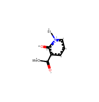 CCn1cccc(C(=O)OC)c1=O